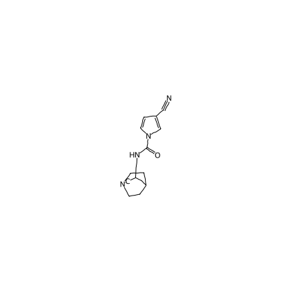 N#Cc1ccn(C(=O)NC2CC3CCN(CC3)C2)c1